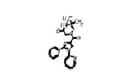 CC1(C)CN(C(=O)c2cn(-c3ccccn3)c(-c3ccccc3)n2)CC(=O)N1